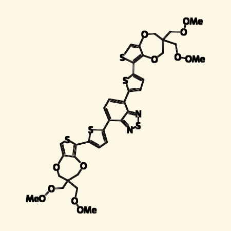 COOCC1(COOC)COc2csc(-c3ccc(-c4ccc(-c5ccc(-c6scc7c6OCC(COOC)(COOC)CO7)s5)c5nsnc45)s3)c2OC1